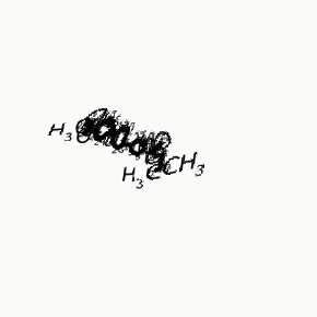 CC(C)COC(=O)N1CCC(C2CCN(c3ccc(S(C)(=O)=O)cc3)CC2)CC1